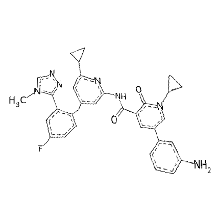 Cn1cnnc1-c1cc(F)ccc1-c1cc(NC(=O)c2cc(-c3cccc(N)c3)cn(C3CC3)c2=O)nc(C2CC2)c1